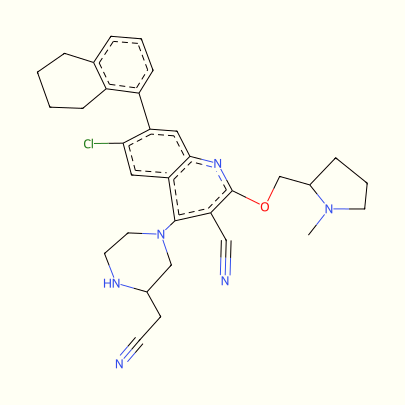 CN1CCCC1COc1nc2cc(-c3cccc4c3CCCC4)c(Cl)cc2c(N2CCNC(CC#N)C2)c1C#N